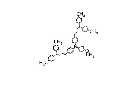 COc1ccc(N(c2ccc(C=CC=C(c3ccc(C)cc3)c3ccc(C)cc3)cc2)c2ccc(C=CC=C(c3ccc(C)cc3)c3ccc(C)cc3)cc2)cc1